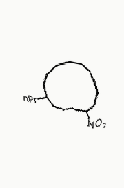 CCCC1CCCCCCCCCC([N+](=O)[O-])CCC1